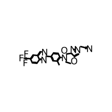 Cc1cc(-c2ncc3cc(C(F)(F)F)ccc3n2)ccc1N1CCOc2cn(CC#N)nc2C1=O